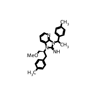 COC[C@H](Cc1ccc(C)cc1)n1c(=N)n(C(C)c2ccc(C)cc2)c2ncccc21